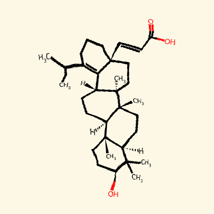 CC(C)C1=C2[C@H]3CC[C@@H]4[C@@]5(C)CC[C@H](O)C(C)(C)[C@@H]5CC[C@@]4(C)[C@]3(C)CC[C@@]2(C=CC(=O)O)CC1